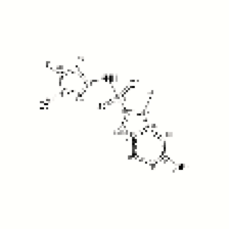 CCc1sc(NS(=O)(=O)c2sc3ccc(C(C)C)cc3c2C)nc1C